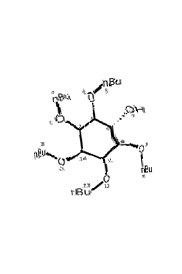 CCCCOC1C(OCCCC)[C@H](O)[C@@H](OCCCC)C(OCCCC)[C@H]1OCCCC